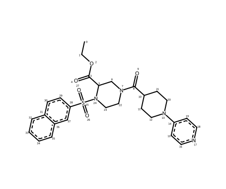 CCOC(=O)C1CN(C(=O)C2CCN(c3ccncc3)CC2)CCN1S(=O)(=O)c1ccc2ccccc2c1